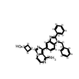 Nc1nccn2c1c(-c1ccc3c(c1)nc(-c1ccccc1)n3Cc1ccccc1)nc2[C@H]1C[C@@H](O)C1